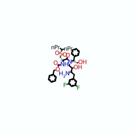 CCCC(CCC)S(=O)(=O)C[C@@H](NC(=O)OCc1ccccc1)C(=O)N(CC(O)[C@@H](N)Cc1cc(F)cc(F)c1)[C@@H](CO)c1ccccc1